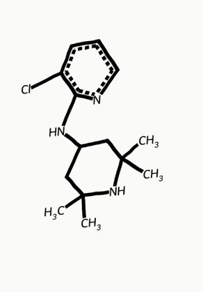 CC1(C)CC(Nc2ncccc2Cl)CC(C)(C)N1